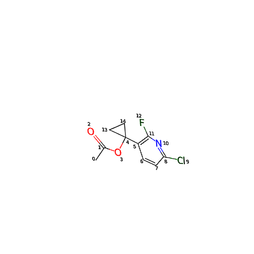 CC(=O)OC1(c2ccc(Cl)nc2F)CC1